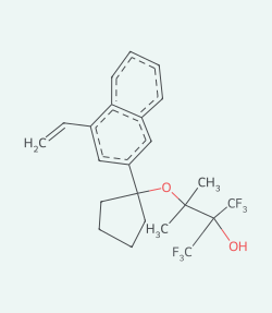 C=Cc1cc(C2(OC(C)(C)C(O)(C(F)(F)F)C(F)(F)F)CCCC2)cc2ccccc12